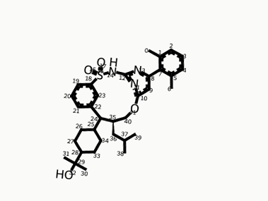 Cc1cccc(C)c1-c1cc2nc(n1)NS(=O)(=O)c1cccc(c1)C(C1CCC(C(C)(C)O)CC1)[C@H](CC(C)C)CO2